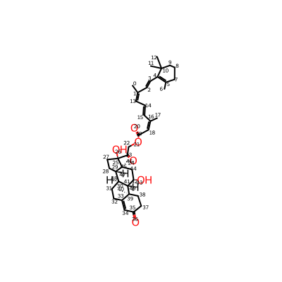 CC(C=CC1=C(C)CCCC1(C)C)=CC=CC(C)=CC(=O)OCC(=O)[C@@]1(O)CC[C@H]2[C@@H]3CCC4=CC(=O)CC[C@]4(C)[C@H]3[C@@H](O)C[C@@]21C